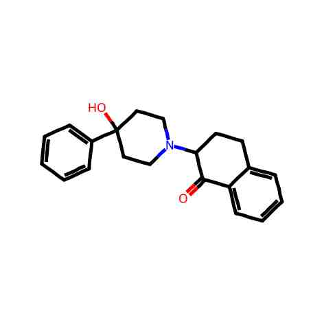 O=C1c2ccccc2CCC1N1CCC(O)(c2ccccc2)CC1